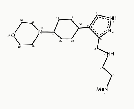 CNCCNCc1n[nH]cc1C1CCC(N2CCOCC2)CC1